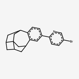 Brc1ccc(-c2ccc3c(c2)C2CC4CC5CC3CC54C2)nc1